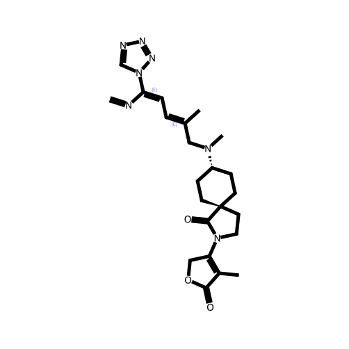 C=N/C(=C\C=C(/C)CN(C)[C@H]1CC[C@]2(CCN(C3=C(C)C(=O)OC3)C2=O)CC1)n1cnnn1